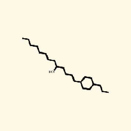 CCCCCCCCC(O)CCCCC1CCC(CCC)CC1